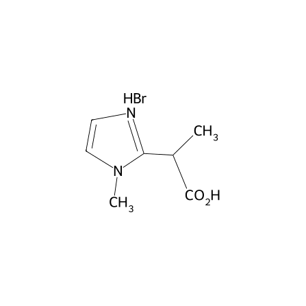 Br.CC(C(=O)O)c1nccn1C